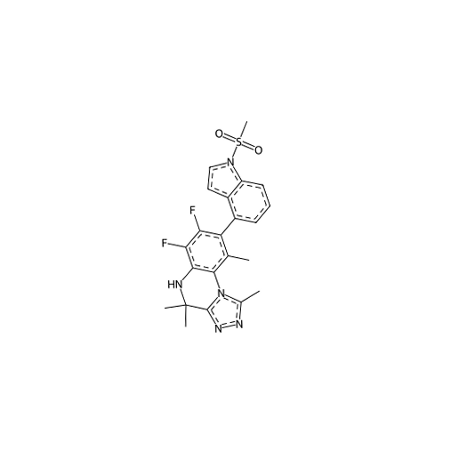 Cc1c(-c2cccc3c2ccn3S(C)(=O)=O)c(F)c(F)c2c1-n1c(C)nnc1C(C)(C)N2